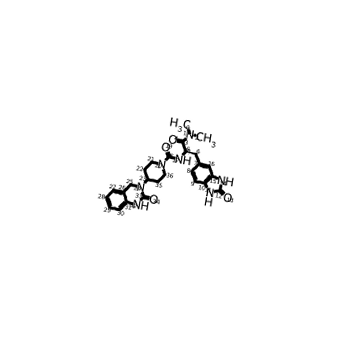 CN(C)C(=O)[C@@H](Cc1ccc2[nH]c(=O)[nH]c2c1)NC(=O)N1CCC(N2Cc3ccccc3NC2=O)CC1